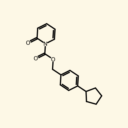 O=C(OCc1ccc(C2CCCC2)cc1)n1ccccc1=O